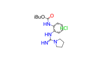 CC(C)COC(=O)Nc1ccccc1NC(=N)N1CCCC1.Cl